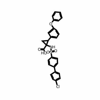 O=C(O)C1(NS(=O)(=O)c2ccc(-c3ccc(Cl)cc3)cc2)CC1c1cccc(Oc2ccccc2)c1